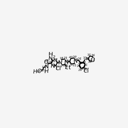 CC[C@H]1CN(c2nc(N)c(C(=O)NCCO)nc2Cl)CCN1C1CCN(Cc2ccc(Cl)cc2C[C@@H]2CCOC2)CC1